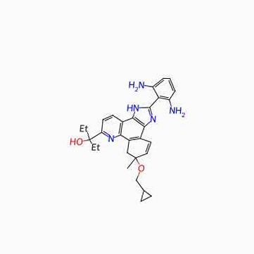 CCC(O)(CC)c1ccc2c(n1)c1c(c3nc(-c4c(N)cccc4N)[nH]c32)C=CC(C)(OCC2CC2)C1